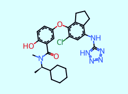 C[C@H](C1CCCCC1)N(C)C(=O)c1cc(Oc2c(Cl)cc(Nc3nnn[nH]3)c3c2CCC3)ccc1O